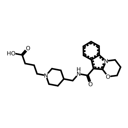 O=C(O)CCCN1CCC(CNC(=O)c2c3n(c4ccccc24)CCCO3)CC1